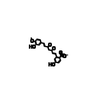 COc1ccc(C=CC(=O)CC(=O)C=Cc2cc(O)ccc2[N+](=O)[O-])cc1O